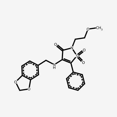 COCCN1C(=O)C(NCc2ccc3c(c2)OCO3)=C(c2ccccc2)S1(=O)=O